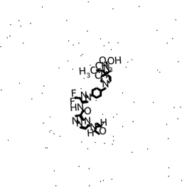 CC(C)(C)C1N(C(=O)O)CC12CCN(CC1CCC(n3cc(NC(=O)c4cnn5ccc(N6C[C@H]7C[C@@H]6CO7)nc45)c(C(F)F)n3)CC1)CC2